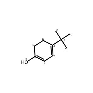 CC(C)(C)C1=CC=C(O)CC1